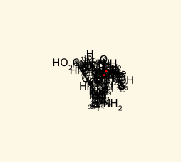 CC[C@H](C)[C@@H]([C@@H](CC(=O)N1CCC[C@H]1[C@H](OC)[C@@H](C)C(=O)N[C@H](C)[C@@H](O)c1ccccc1)OC)N(C)C(=O)[C@@H](NC(=O)[C@H](C(C)C)N(C)C(=O)OCc1ccc(NC(=O)[C@H](CCCNC(N)=O)NC(=O)[C@@H](NC(=O)[C@H](CCC(=O)O)NC(=O)CCOCCC(=O)NCCNc2ncc(-c3cc(C)cc(F)c3)c(N3CCC(N)CC3)c2-c2nc3ccc(Cl)cc3[nH]2)C(C)C)cc1)C(C)C